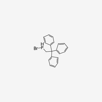 BrPCC(c1ccccc1)(c1ccccc1)c1ccccc1